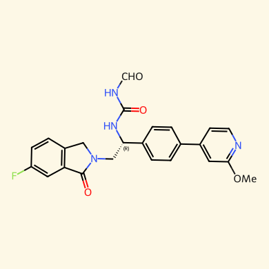 COc1cc(-c2ccc([C@H](CN3Cc4ccc(F)cc4C3=O)NC(=O)NC=O)cc2)ccn1